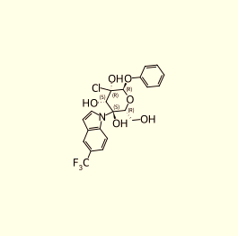 OC[C@H]1O[C@H](Oc2ccccc2)[C@](O)(Cl)[C@@H](O)[C@@]1(O)n1ccc2cc(C(F)(F)F)ccc21